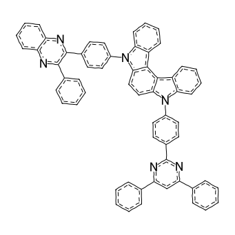 c1ccc(-c2cc(-c3ccccc3)nc(-c3ccc(-n4c5ccccc5c5c6c7ccccc7n(-c7ccc(-c8nc9ccccc9nc8-c8ccccc8)cc7)c6ccc54)cc3)n2)cc1